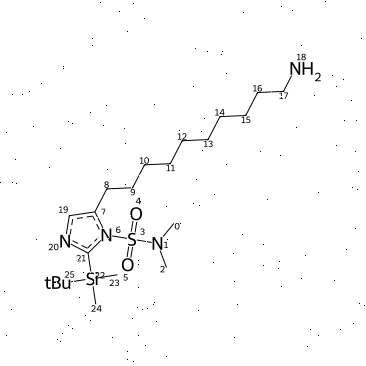 CN(C)S(=O)(=O)n1c(CCCCCCCCCCN)cnc1[Si](C)(C)C(C)(C)C